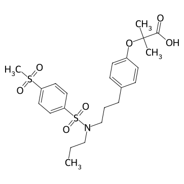 CCCN(CCCc1ccc(OC(C)(C)C(=O)O)cc1)S(=O)(=O)c1ccc(S(C)(=O)=O)cc1